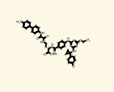 COC(=O)[C@H](CCNC(=O)C(=O)Nc1ccc(-c2ccc(C)cc2)cc1)NC(=O)c1ccc(Nc2nc(NC3(c4ccc(Cl)cc4)CC3)nc(OCC(F)(F)F)n2)cc1